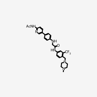 CC(=O)Nc1ccc(-c2ccc(NCC(=O)Nc3ccc(CN4CCN(C)CC4)c(C(F)(F)F)c3)cc2)cn1